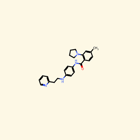 Cc1ccc(C(=O)Nc2ccc(NCCc3ccccn3)cc2)c(N2CCCC2)c1